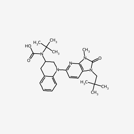 Cn1c(=O)n(CC(C)(C)C)c2ccc(N3CC(N(C(=O)O)C(C)(C)C)Cc4ccccc43)nc21